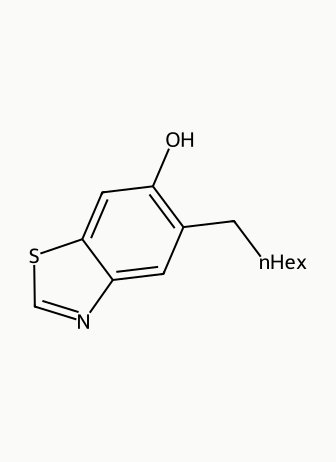 CCCCCCCc1cc2ncsc2cc1O